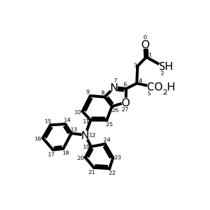 O=C(S)CC(C(=O)O)c1nc2ccc(N(c3ccccc3)c3ccccc3)cc2o1